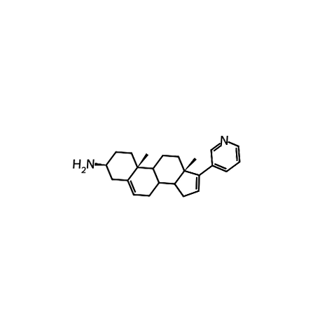 C[C@]12CC[C@H](N)CC1=CCC1C2CC[C@]2(C)C(c3cccnc3)=CCC12